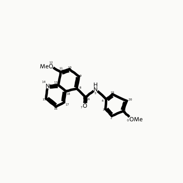 COc1ccc(NC(=O)c2ccc(OC)c3ncccc23)cc1